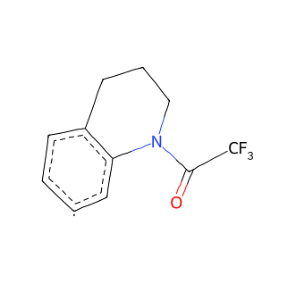 O=C(N1CCCc2cc[c]cc21)C(F)(F)F